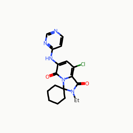 CCN1C(=O)c2c(Cl)cc(Nc3ccncn3)c(=O)n2C12CCCCC2